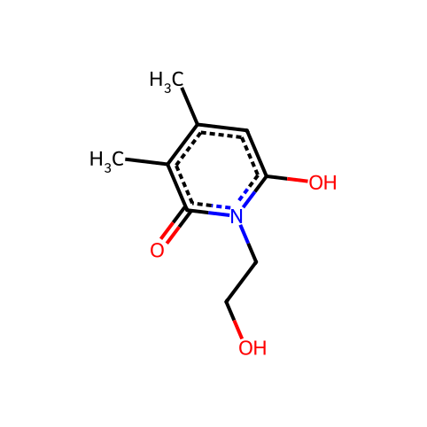 Cc1cc(O)n(CCO)c(=O)c1C